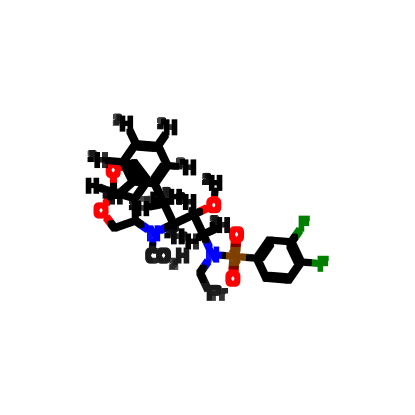 [2H]O[C@]([2H])(C([2H])([2H])N(CC(C)C)S(=O)(=O)c1ccc(F)c(F)c1)[C@@]([2H])(N(C(=O)O)C1CO[C@@H]2OC=C[C@@H]12)C([2H])([2H])c1c([2H])c([2H])c([2H])c([2H])c1[2H]